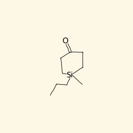 CCC[Si]1(C)CCC(=O)CC1